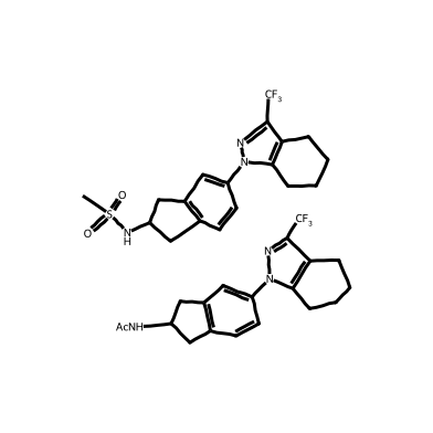 CC(=O)NC1Cc2ccc(-n3nc(C(F)(F)F)c4c3CCCC4)cc2C1.CS(=O)(=O)NC1Cc2ccc(-n3nc(C(F)(F)F)c4c3CCCC4)cc2C1